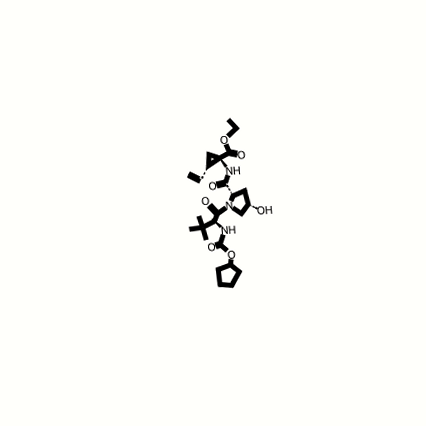 C=C[C@@H]1C[C@]1(NC(=O)[C@@H]1C[C@H](O)CN1C(=O)[C@@H](NC(=O)OC1CCCC1)C(C)(C)C)C(=O)OCC